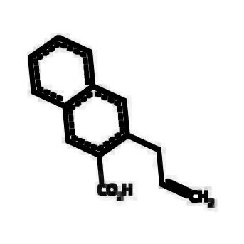 C=CCc1cc2ccccc2cc1C(=O)O